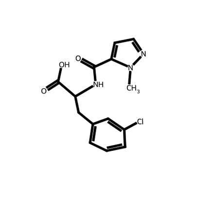 Cn1nccc1C(=O)NC(Cc1cccc(Cl)c1)C(=O)O